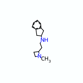 CN1CCC1CCNC1Cc2ccccc2C1